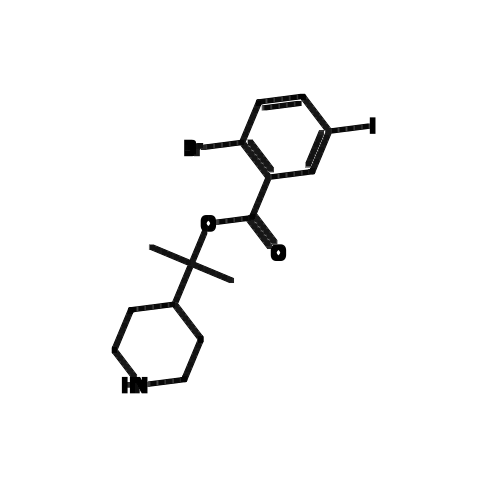 CC(C)(OC(=O)c1cc(I)ccc1Br)C1CCNCC1